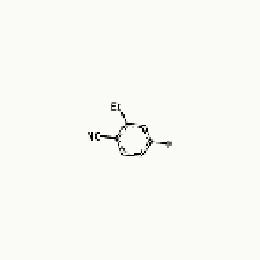 CCc1cc(F)ccc1C#N